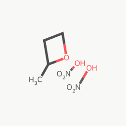 CC1CCO1.O=[N+]([O-])O.O=[N+]([O-])O